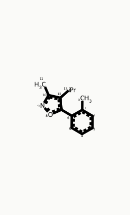 Cc1ccccc1-c1onc(C)c1C(C)C